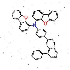 c1ccc(-c2cccc3ccc(-c4ccc(N(c5cccc6c5oc5ccccc56)c5cccc6c5oc5ccccc56)cc4)cc23)cc1